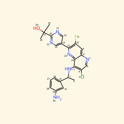 CC(Nc1c(Cl)cnc2cc(F)c(-c3cnc(C(C)(C)O)nc3)nc12)c1cccc(N)c1